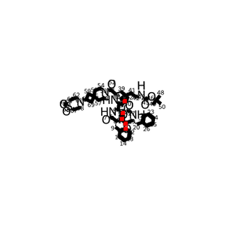 CC(C)C[C@@H](NC(=O)[C@@H](Cc1ccccc1)NC(=O)[C@@H](Cc1ccccc1)NC(=O)OC(C)(C)C)C(=O)N[C@H](CCCCNC(=O)OC(C)(C)C)C(=O)N1CCC2(CC1)CC(N1CCS(=O)(=O)CC1)C2